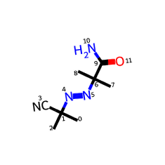 CC(C)(C#N)N=NC(C)(C)C(N)=O